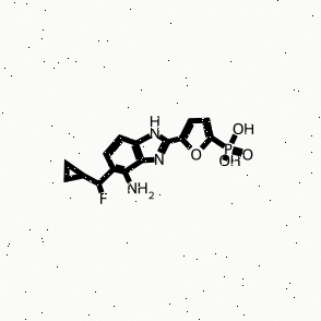 Nc1c(C(F)C2CC2)ccc2[nH]c(-c3ccc(P(=O)(O)O)o3)nc12